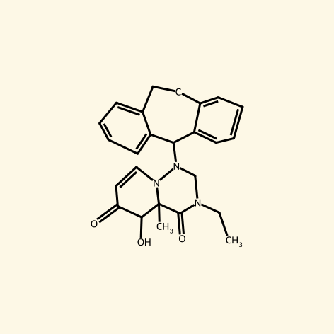 CCN1CN(C2c3ccccc3CCc3ccccc32)N2C=CC(=O)C(O)C2(C)C1=O